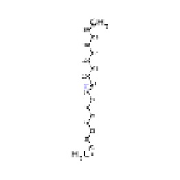 C=CCCCCCC/C=C/CCCCCCC=C